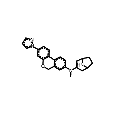 CN(c1ccc2c(c1)COc1cc(-n3cccn3)ccc1-2)C1CC2CCC(C1)N2